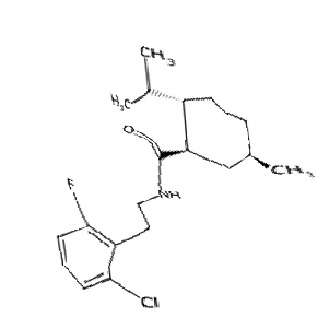 CC(C)[C@@H]1CC[C@@H](C)C[C@H]1C(=O)NCCc1c(F)cccc1Cl